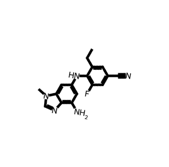 CCc1cc(C#N)cc(F)c1Nc1cc(N)c2ncn(C)c2c1